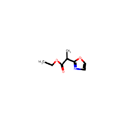 CCOC(=O)C(C)c1ncco1